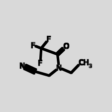 CCN(CC#N)C(=O)C(F)(F)F